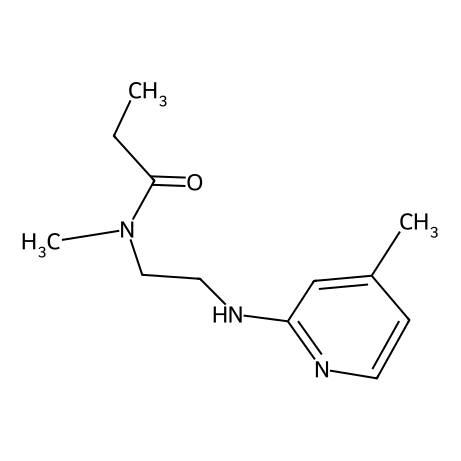 CCC(=O)N(C)CCNc1cc(C)ccn1